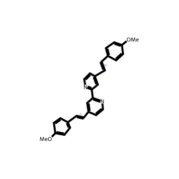 COc1ccc(/C=C/c2ccnc(-c3cc(/C=C/c4ccc(OC)cc4)ccn3)c2)cc1